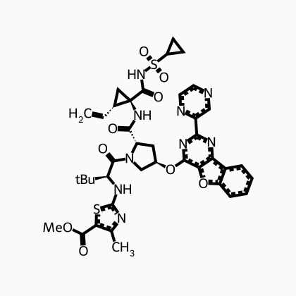 C=C[C@@H]1C[C@]1(NC(=O)[C@@H]1C[C@@H](Oc2nc(-c3cnccn3)nc3c2oc2ccccc23)CN1C(=O)[C@@H](Nc1nc(C)c(C(=O)OC)s1)C(C)(C)C)C(=O)NS(=O)(=O)C1CC1